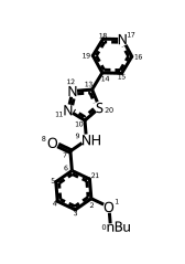 CCCCOc1cccc(C(=O)Nc2nnc(-c3ccncc3)s2)c1